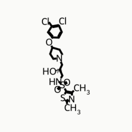 Cc1nc(C)c(S(=O)(=O)NC[C@H](O)CN2CCC(Oc3ccc(Cl)c(Cl)c3)CC2)s1